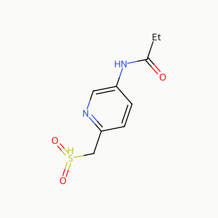 CCC(=O)Nc1ccc(C[SH](=O)=O)nc1